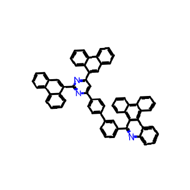 c1cc(-c2ccc(-c3cc(-c4cc5ccccc5c5ccccc45)nc(-c4cc5ccccc5c5ccccc45)n3)cc2)cc(-c2nc3ccccc3c3c4ccccc4c4ccccc4c23)c1